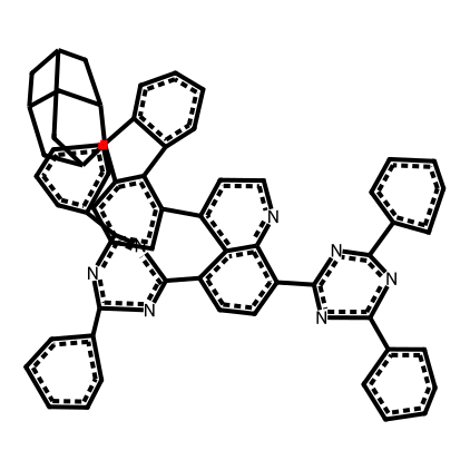 c1ccc(-c2nc(-c3ccccc3)nc(-c3ccc(-c4nc(-c5ccccc5)nc(-c5ccccc5)n4)c4c(-c5cccc6c5-c5ccccc5C65C6CC7CC(C6)CC5C7)ccnc34)n2)cc1